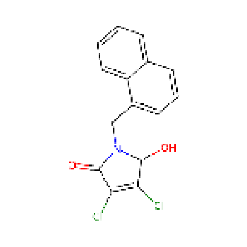 O=C1C(Cl)=C(Cl)C(O)N1Cc1cccc2ccccc12